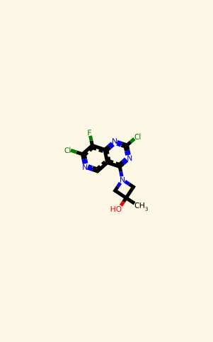 CC1(O)CN(c2nc(Cl)nc3c(F)c(Cl)ncc23)C1